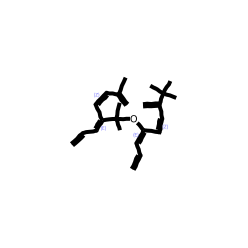 C=C/C=C(\C=C/C(=C)C(C)(C)C)OC(C)(C)C(/C=C\C(=C)C)=C/C=C